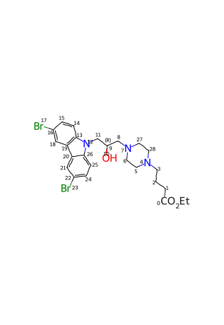 CCOC(=O)CCCN1CCN(C[C@@H](O)Cn2c3ccc(Br)cc3c3cc(Br)ccc32)CC1